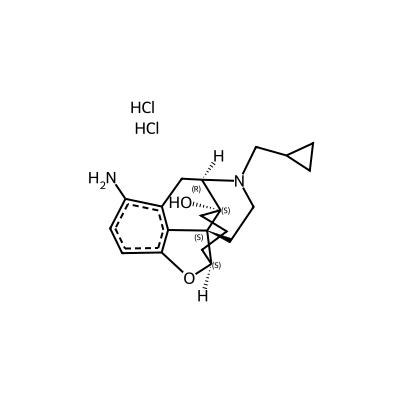 Cl.Cl.Nc1ccc2c3c1C[C@H]1N(CC4CC4)CC[C@@]34[C@H](CCC[C@@]14O)O2